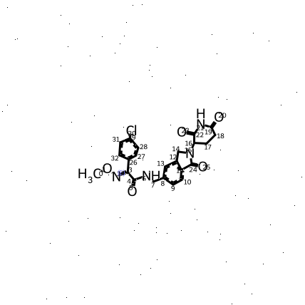 CO/N=C(/C(=O)NCc1ccc2c(c1)CN(C1CCC(=O)NC1=O)C2=O)c1ccc(Cl)cc1